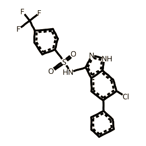 O=S(=O)(Nc1n[nH]c2cc(Cl)c(-c3ccccc3)cc12)c1ccc(C(F)(F)F)cc1